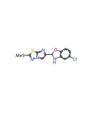 CSc1nn2cc(C3Nc4cc(Cl)ccc4O3)nc2s1